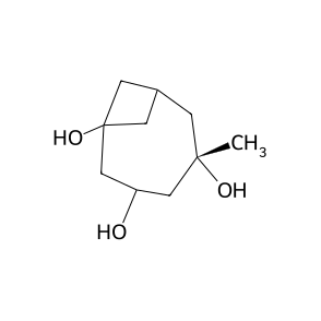 C[C@@]1(O)CC(O)CC2(O)CC(C2)C1